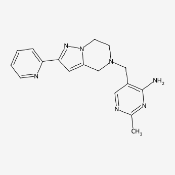 Cc1ncc(CN2CCn3nc(-c4ccccn4)cc3C2)c(N)n1